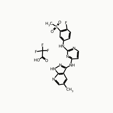 Cc1cnc2[nH]nc(Nc3ccnc(Nc4ccc(F)c(S(C)(=O)=O)c4)n3)c2c1.O=C(O)C(F)(F)F